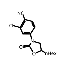 CCCCCCC1CN(c2ccc(C#N)c(Cl)c2)C(=O)O1